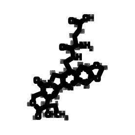 CC[C@@]1(O)C(=O)OCc2c1cc1n(c2=O)Cc2c-1nc1cc3c(cc1c2CNC(=O)[C@@H](N)CCC(=O)O)OCO3